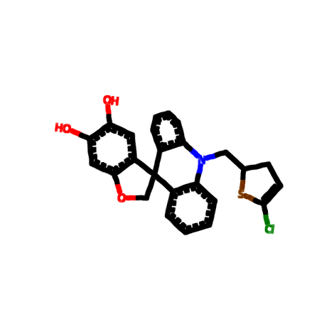 Oc1cc2c(cc1O)C1(CO2)c2ccccc2N(CC2CC=C(Cl)S2)c2ccccc21